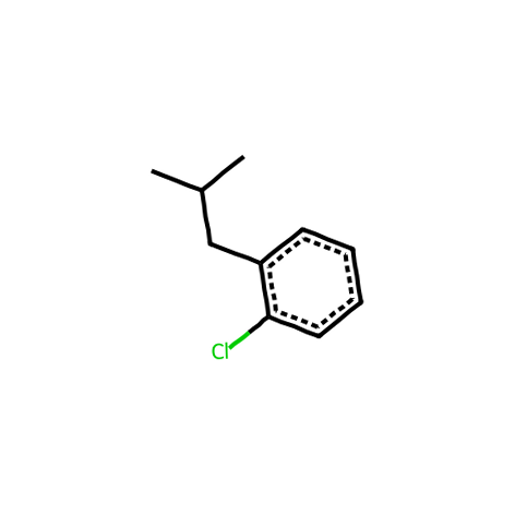 CC(C)Cc1ccccc1Cl